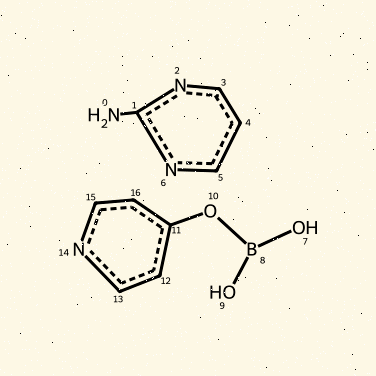 Nc1ncccn1.OB(O)Oc1ccncc1